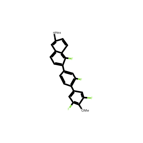 CCCCCCc1ccc2c(F)c(-c3ccc(-c4cc(F)c(OC)c(F)c4)c(F)c3)ccc2c1